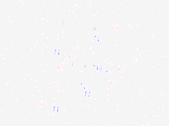 C=NC(=O)C(C)(C)OC/C=C/[C@H](OC(=O)N(C)C)[C@@H]1CC[C@H]1CN1C[C@@]2(CCCc3cc(Cl)ccc32)COc2ccc([S+]([O-])NC(=O)c3cnn(C)c3)cc21